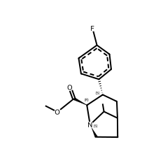 COC(=O)[C@H]1[C@H](c2ccc(F)cc2)CC2CC[N@]1C2C